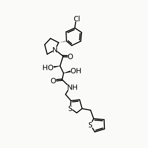 O=C(NCC1=CC(Cc2cccs2)CS1)[C@H](O)[C@@H](O)C(=O)N1CCC[C@@H]1c1cccc(Cl)c1